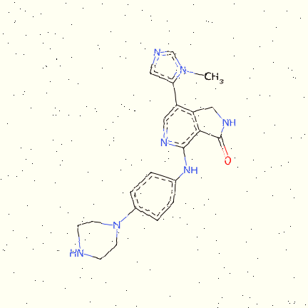 Cn1cncc1-c1cnc(Nc2ccc(N3CCNCC3)cc2)c2c1CNC2=O